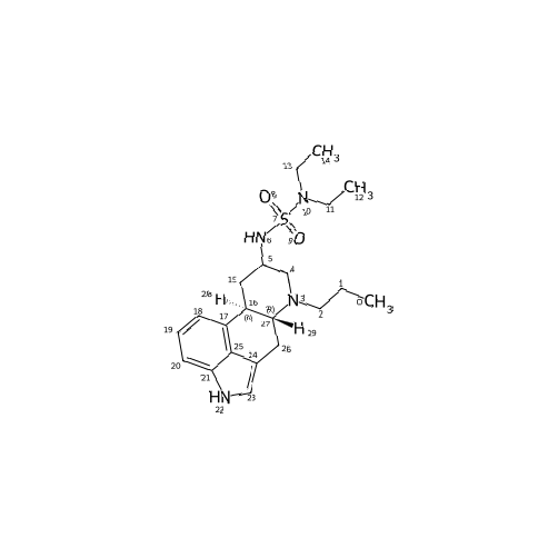 CCCN1CC(NS(=O)(=O)N(CC)CC)C[C@@H]2c3cccc4[nH]cc(c34)C[C@H]21